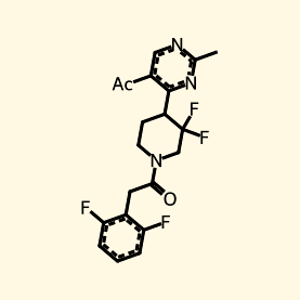 CC(=O)c1cnc(C)nc1C1CCN(C(=O)Cc2c(F)cccc2F)CC1(F)F